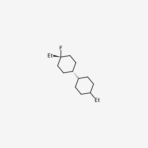 CCC1CCC([C@H]2CC[C@](F)(CC)CC2)CC1